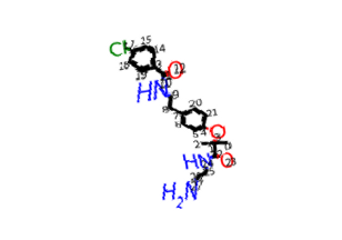 CC(C)(Oc1ccc(CCNC(=O)c2ccc(Cl)cc2)cc1)C(=O)NCCN